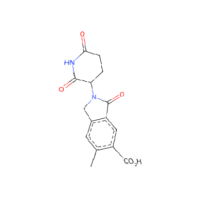 Cc1cc2c(cc1C(=O)O)C(=O)N(C1CCC(=O)NC1=O)C2